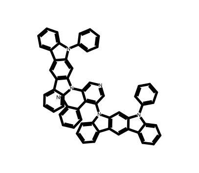 N#Cc1ccccc1-c1c(-n2c3ccccc3c3cc4c5ccccc5n(-c5ccccc5)c4cc32)cncc1-n1c2ccccc2c2cc3c4ccccc4n(-c4ccccc4)c3cc21